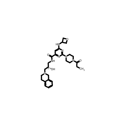 CCC(=O)N1CCN(c2nc(NC3COC3)cc(C(=O)NC[C@H](O)CN3CCc4ccccc4C3)n2)CC1